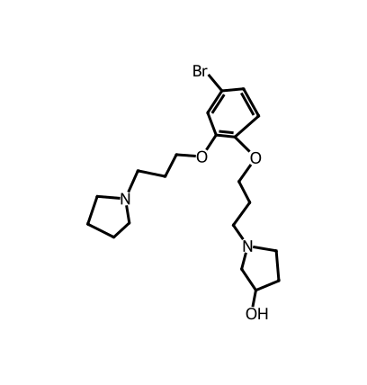 OC1CCN(CCCOc2ccc(Br)cc2OCCCN2CCCC2)C1